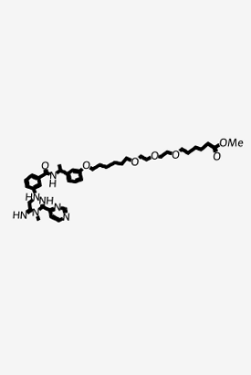 COC(=O)CCCCCOCCOCCOCCCCCCOc1cccc(C(C)NC(=O)c2cccc(NCC(=N)N(C)C(=N)c3ccncn3)c2)c1